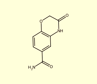 NC(=O)c1ccc2c(c1)NC(=O)CO2